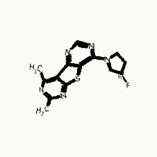 Cc1nc(C)c2c(n1)sc1c(N3CC[C@@H](F)C3)ncnc12